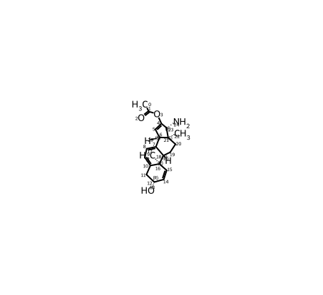 CC(=O)OC1=C[C@H]2C3=CC=C4C[C@@H](O)C=C[C@]4(C)[C@H]3CC[C@]2(C)[C@H]1N